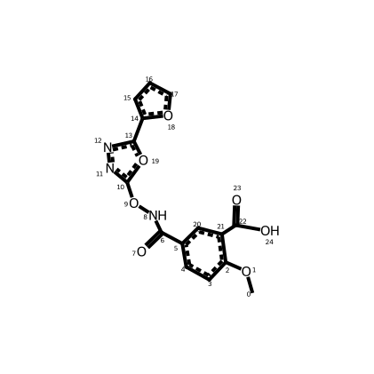 COc1ccc(C(=O)NOc2nnc(-c3ccco3)o2)cc1C(=O)O